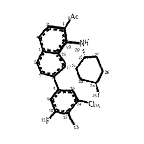 CC(=O)c1ccc2ccc(-c3cc(F)c(C)c(Cl)c3)cc2c1N[C@H]1CC[C@H](I)CC1